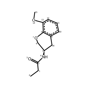 CCC(=O)N[C@H]1COc2c(cccc2OC)C1